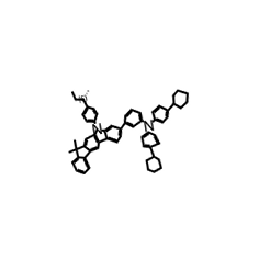 CC[C@H](C)c1ccc(-n2c3cc(-c4cccc(N(c5ccc(C6CCCCC6)cc5)c5ccc(C6CCCCC6)cc5)c4)ccc3c3cc4c(cc32)C(C)(C)c2ccccc2-4)cc1